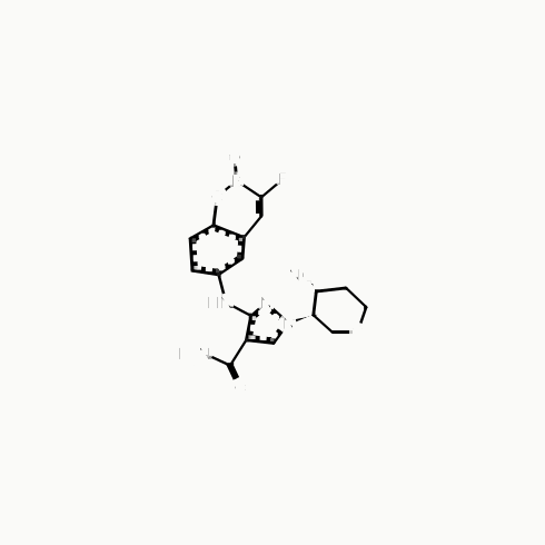 CCC1=Cc2cc(Nc3nn([C@@H]4COCC[C@H]4C#N)cc3C(N)=O)ccc2OB1O